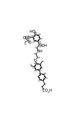 Cc1cc(-c2ccc(CCC(=O)O)cc2)cc(C)c1OCCNC[C@H](O)c1ccc(O)c(NS(C)(=O)=O)c1